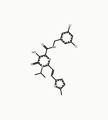 Cc1ccc(C=Cc2nc(C(=O)NCc3cc(Cl)cc(Cl)c3)c(O)c(=O)n2C(C)C)s1